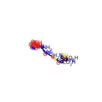 [N-]=[N+]=NCOC1C[C@H](n2cc(C#CCNC(=O)NCCCCCOCSSCCNC(=O)c3ccc(C(=O)O)c(-c4c5ccc(=N)c(S(=O)(=O)O)c-5oc5c(S)c(N)ccc45)c3)c(N)nc2=O)O[C@@H]1COP(=O)(O)OP(=O)(O)OP(=O)(O)O